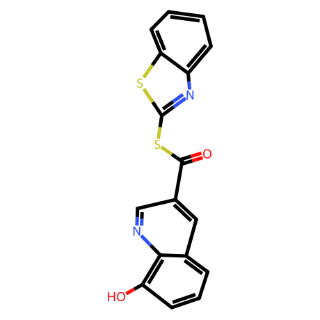 O=C(Sc1nc2ccccc2s1)c1cnc2c(O)cccc2c1